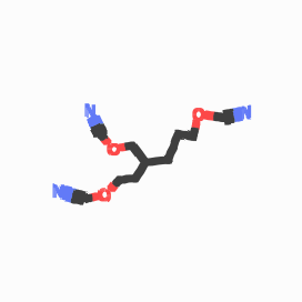 N#COCCCC(CCOC#N)COC#N